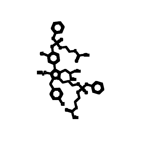 CCCCC(CCCC)Cc1c(-c2ccc(OP(=O)(OCCSC(=O)C(C)(C)C)Oc3ccccc3)c(Cl)c2)c(C(=O)O)c(Cc2ccc(Cl)cc2)n1CCCOP(=O)(OCCSC(=O)C(C)(C)C)Oc1ccccc1